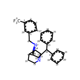 FC(F)(F)c1cccc(C/N=C2\C3CCN(CC3)C2C(c2ccccc2)c2ccccc2)c1